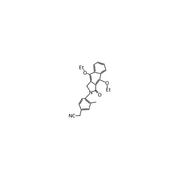 CCOc1c2c(c(OCC)c3ccccc13)C(=O)N(c1ccc(CC#N)cc1C)C2